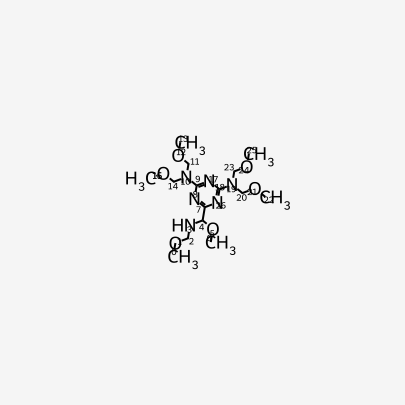 COCNC(OC)c1nc(N(COC)COC)nc(N(COC)COC)n1